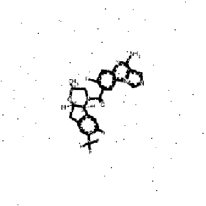 C[C@H]1CN(C(=O)c2cc3c(cc2F)nc(N)c2cncn23)[C@H]2c3cc(F)c(C(F)(F)F)cc3C[C@H]2O1